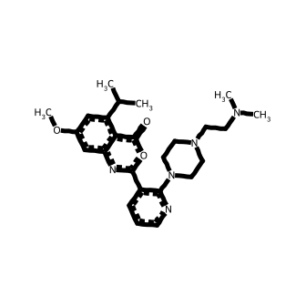 COc1cc(C(C)C)c2c(=O)oc(-c3cccnc3N3CCN(CCN(C)C)CC3)nc2c1